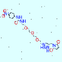 O=C(NCCOCCOCCOCCN1C=C(CN2C(=O)C=CC2=O)NN1)Nc1ccc([N+](=O)[O-])cc1